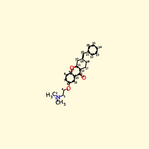 CN(C)CCOc1ccc2oc3c(c(=O)c2c1)CCC(=Cc1ccccc1)C3